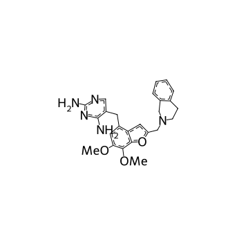 COc1cc(Cc2cnc(N)nc2N)c2cc(CN3CCc4ccccc4C3)oc2c1OC